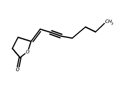 CCCCC#CC=C1CCC(=O)O1